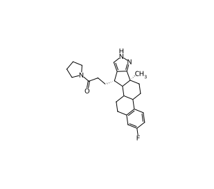 C[C@]12CCC3c4ccc(F)cc4CCC3C1[C@H](CCC(=O)N1CCCC1)c1c[nH]nc12